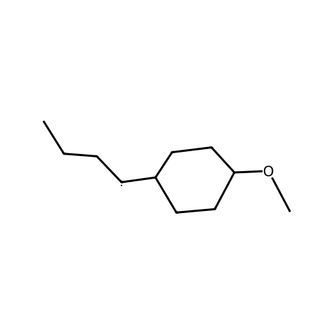 CCC[CH]C1CCC(OC)CC1